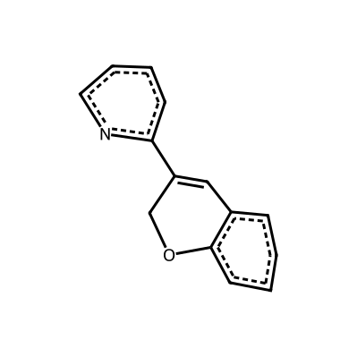 C1=C(c2ccccn2)COc2ccccc21